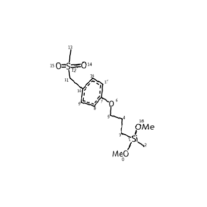 CO[Si](C)(CCCOc1ccc(CS(C)(=O)=O)cc1)OC